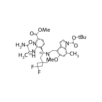 COC(=O)c1ccc([C@@H]2CC3(CCN2Cc2c(OC)cc(C)c4c2ccn4C(=O)OC(C)(C)C)CC(F)(F)C3)c(N[C@@H](C)C(N)=O)n1